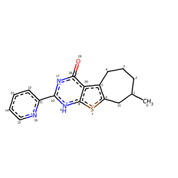 CC1CCCc2c(sc3[nH]c(-c4ccccn4)nc(=O)c23)C1